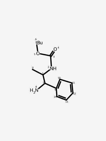 CC(NC(=O)OC(C)(C)C)C(N)c1ccccc1